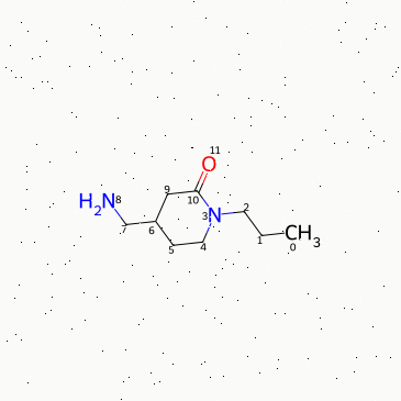 CCCN1CCC(CN)CC1=O